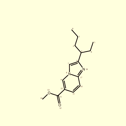 CCCC(CC)c1cn2cc(C(=O)OC)ccc2n1